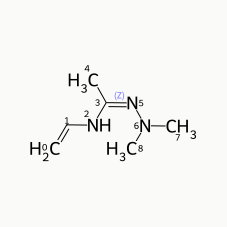 C=CN/C(C)=N\N(C)C